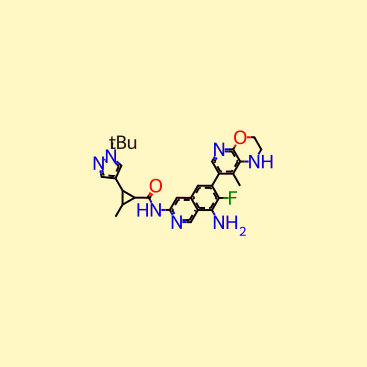 Cc1c(-c2cc3cc(NC(=O)C4C(C)C4c4cnn(C(C)(C)C)c4)ncc3c(N)c2F)cnc2c1NCCO2